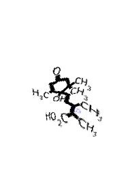 CC1=CC(=O)CC(C)(C)C1(O)C=C/C(C)=C(/C)C(=O)O